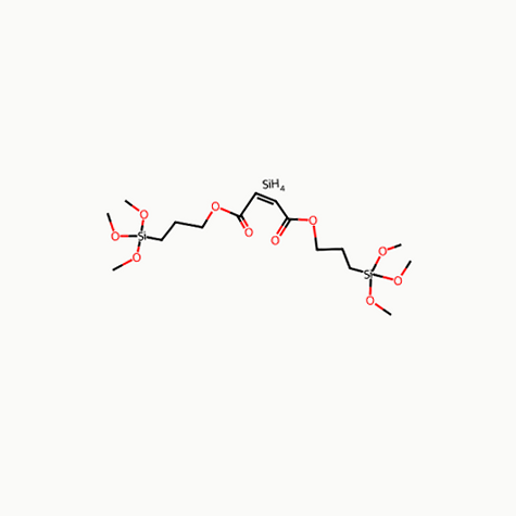 CO[Si](CCCOC(=O)/C=C\C(=O)OCCC[Si](OC)(OC)OC)(OC)OC.[SiH4]